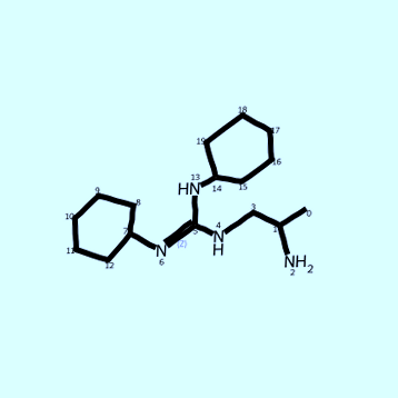 CC(N)CN/C(=N/C1CCCCC1)NC1CCCCC1